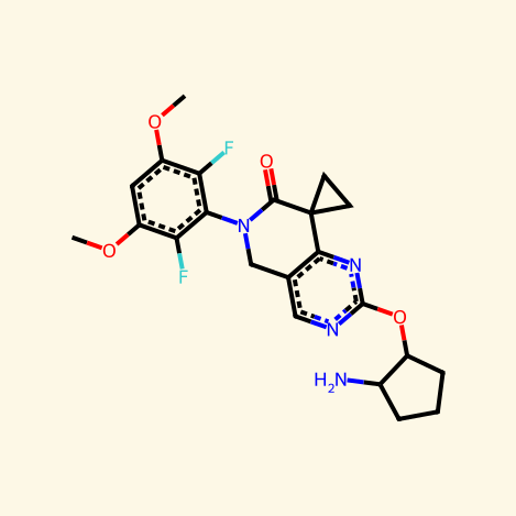 COc1cc(OC)c(F)c(N2Cc3cnc(OC4CCCC4N)nc3C3(CC3)C2=O)c1F